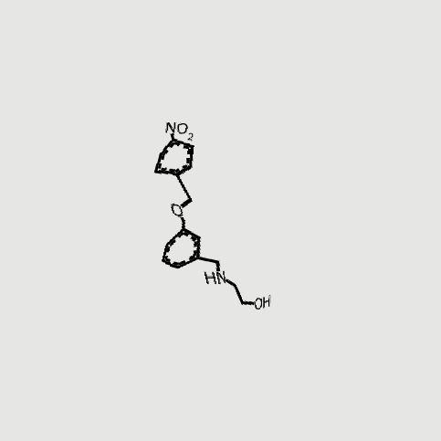 O=[N+]([O-])c1ccc(COc2cccc(CNCCO)c2)cc1